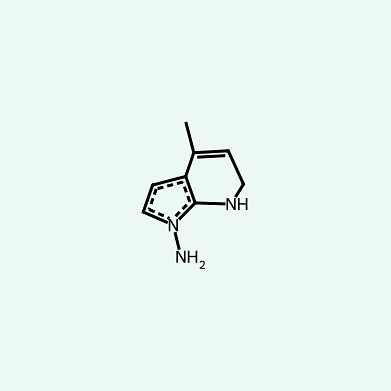 CC1=CCNc2c1ccn2N